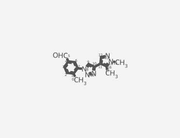 Cc1ccc(C=O)cc1-n1cc(-c2cnn(C)c2C)nn1